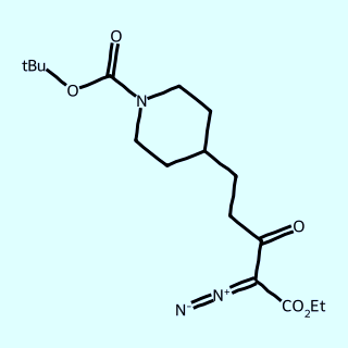 CCOC(=O)C(=[N+]=[N-])C(=O)CCC1CCN(C(=O)OC(C)(C)C)CC1